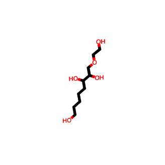 OCCCCCC(O)C(O)COCCO